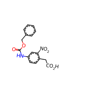 O=C(O)Cc1ccc(NC(=O)OCc2ccccc2)cc1[N+](=O)[O-]